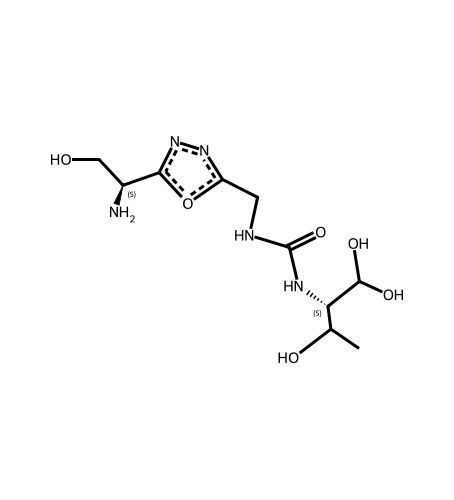 CC(O)[C@H](NC(=O)NCc1nnc([C@@H](N)CO)o1)C(O)O